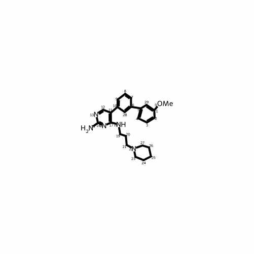 COc1cccc(-c2cccc(-c3cnc(N)nc3NCCCN3CCCCC3)c2)c1